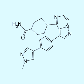 Cn1cc(-c2ccc(-c3cnn4ccnc(C5CCC(C(N)=O)CC5)c34)cc2)cn1